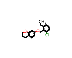 CCc1cccc(Cl)c1COc1ccc2c(c1)OCCC2